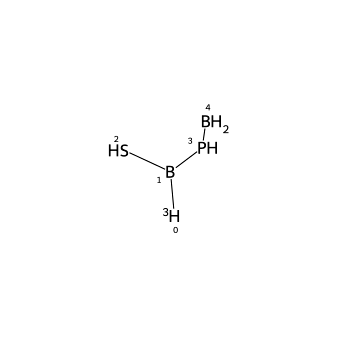 [3H]B(S)PB